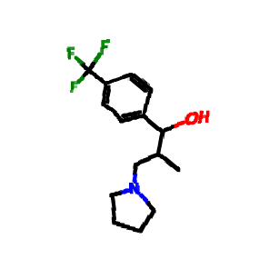 CC(CN1CCCC1)C(O)c1ccc(C(F)(F)F)cc1